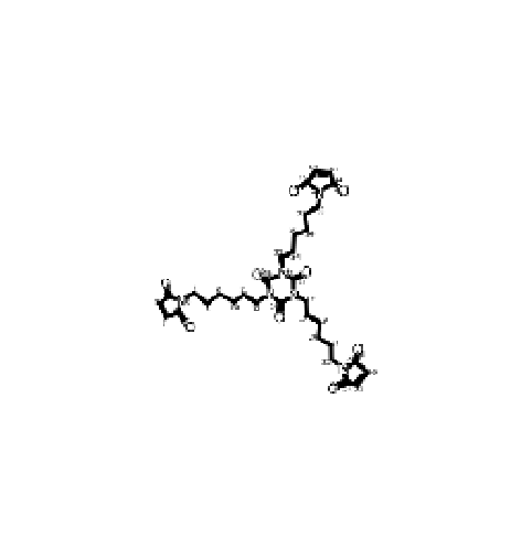 O=C1C=CC(=O)N1CCCCCCn1c(=O)n(CCCCCCN2C(=O)C=CC2=O)c(=O)n(CCCCCCN2C(=O)C=CC2=O)c1=O